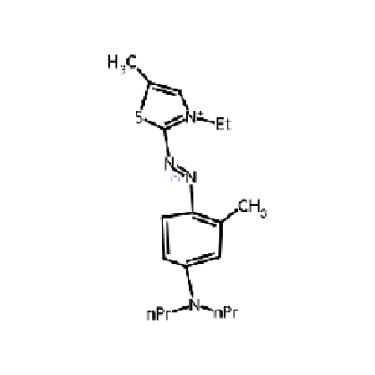 CCCN(CCC)c1ccc(/N=N/c2sc(C)c[n+]2CC)c(C)c1